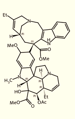 CCC1=C[C@@H]2CN(C1)Cc1c([nH]c3ccccc13)[C@@](C(=O)OC)(C1C=C3C(=CC1OC)N(C)[C@H]1C(O)(C(=O)OC)[C@H](OC(C)=O)[C@]4(CC)C=CCN5CCC31[C@@H]54)C2